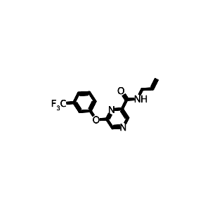 C=CCNC(=O)c1cncc(Oc2cccc(C(F)(F)F)c2)n1